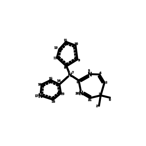 CC1(C)C=CN=C(N(c2ccccc2)c2ccncc2)N=C1